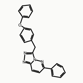 c1ccc(Oc2ccc(Cc3nnc4ccc(-c5ccccc5)nn34)cc2)cc1